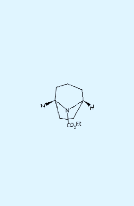 CCOC(=O)N1[C@@H]2CCC[C@H]1CC2